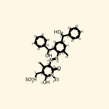 CCn1c(O)c(CS(=O)(=O)O)c(C)c(/N=N/c2c(C)cc(C(O)c3ccccc3)cc2C(O)c2ccccc2)c1=O